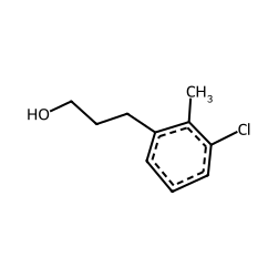 Cc1c(Cl)cccc1CCCO